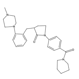 CN1CCN(c2ccccc2CC2CCN(c3ccc(C(=O)N4CCCCC4)cc3)C2=O)CC1